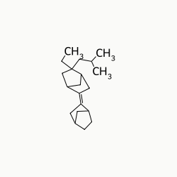 CCC1(CC(C)C)CC2CC1CC2=C1CC2CCC1C2